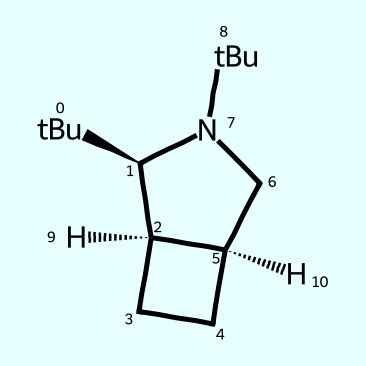 CC(C)(C)[C@@H]1[C@@H]2CC[C@@H]2CN1C(C)(C)C